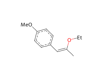 CCO/C(C)=C\c1ccc(OC)cc1